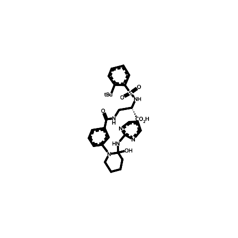 CC(C)(C)c1ccccc1S(=O)(=O)N[C@@H](CNC(=O)c1cccc(N2CCCCC2(O)Nc2ncccn2)c1)C(=O)O